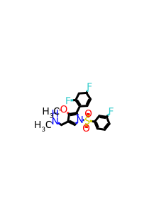 CNCc1cn(S(=O)(=O)c2cccc(F)c2)c(C2=C(F)CC(F)C=C2)c1OC